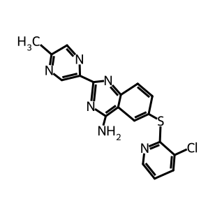 Cc1cnc(-c2nc(N)c3cc(Sc4ncccc4Cl)ccc3n2)cn1